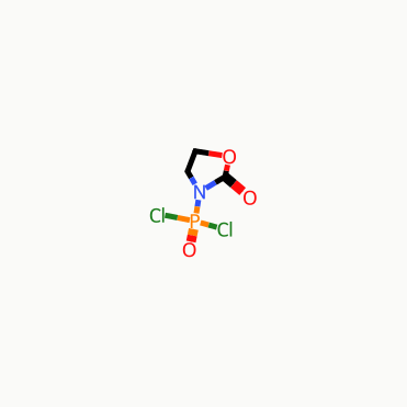 O=C1OCCN1P(=O)(Cl)Cl